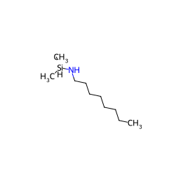 CCCCCCCCN[SiH](C)C